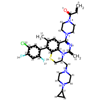 C=CC(=O)N1CCN(C2=NC(=C)N3c4c2cc(C)c(-c2cc(Cl)c(F)cc2F)c4SC[C@@H]3CN2CCN(C3CC3)CC2)CC1